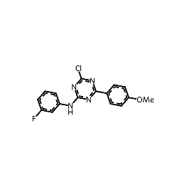 COc1ccc(-c2nc(Cl)nc(Nc3cccc(F)c3)n2)cc1